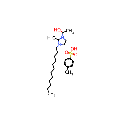 CCCCCCCCCCCCN1CCN(C(C)O)C1C.Cc1ccc(S(=O)(=O)O)cc1